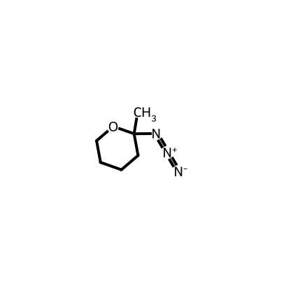 CC1(N=[N+]=[N-])CCCCO1